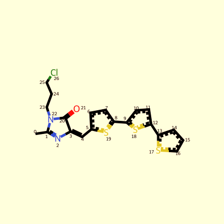 CC1=N/C(=C/c2ccc(-c3ccc(-c4cccs4)s3)s2)C(=O)N1CCCCl